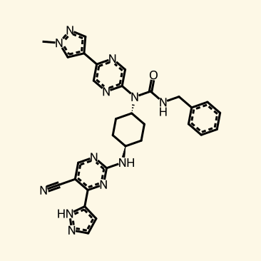 Cn1cc(-c2cnc(N(C(=O)NCc3ccccc3)[C@H]3CC[C@H](Nc4ncc(C#N)c(-c5ccn[nH]5)n4)CC3)cn2)cn1